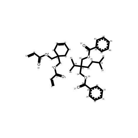 C=CC(=O)OCC1(COC(=O)C=C)CC=CCC1.CC(C)CCC(COC(=O)c1ccccc1)(COC(=O)c1ccccc1)C(C)C